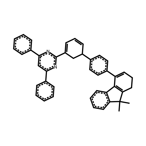 CC1(C)C2=C(C(c3ccc(C4C=CC=C(c5nc(-c6ccccc6)cc(-c6ccccc6)n5)C4)cc3)=CCC2)c2ccccc21